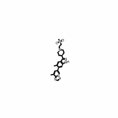 Cc1cc2c(C3CCN(CCS(C)(=O)=O)CC3)n[nH]c2cc1-c1cc(C)c2ncnn2c1